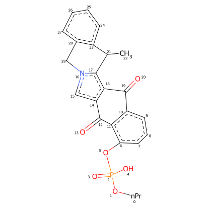 CCCOP(=O)(O)Oc1cccc2c1C(=O)c1cn3c(c1C2=O)C(C)c1ccccc1C3